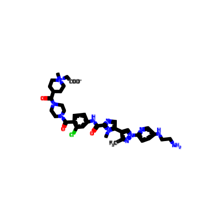 Cn1c(-c2cn(-c3ccc(NCCN)cn3)nc2C(F)(F)F)cnc1C(=O)Nc1ccc(C(=O)N2CCN(C(=O)C3CC[N+](C)(CC(=O)[O-])CC3)CC2)c(Cl)c1